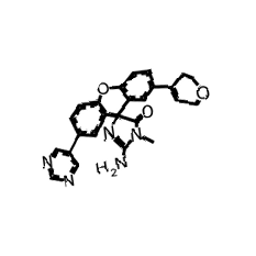 CN1C(=O)C2(N=C1N)c1cc(C3=CCOCC3)ccc1Oc1ccc(-c3cncnc3)cc12